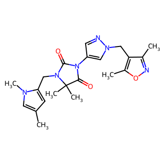 Cc1cc(CN2C(=O)N(c3cnn(Cc4c(C)noc4C)c3)C(=O)C2(C)C)n(C)c1